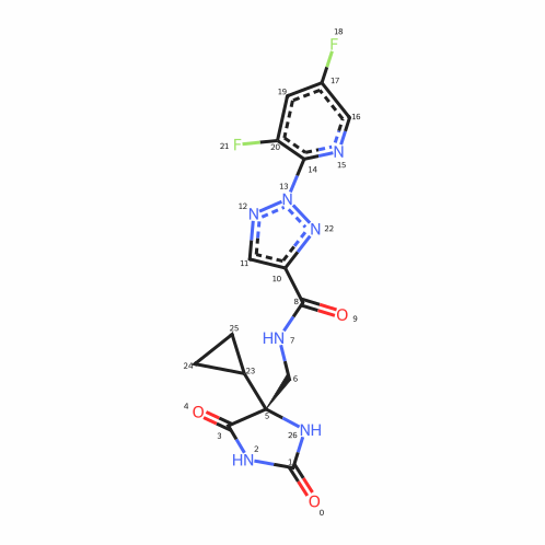 O=C1NC(=O)[C@](CNC(=O)c2cnn(-c3ncc(F)cc3F)n2)(C2CC2)N1